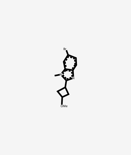 COC1CC(c2nc3ccc(Br)cc3n2C)C1